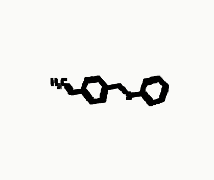 C=Cc1ccc(CSc2ccccc2)cc1